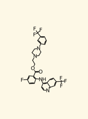 O=C(OCCN1CCN(c2cccc(C(F)(F)F)c2)CC1)c1cc(F)ccc1Nc1ccnc2cc(C(F)(F)F)ccc12